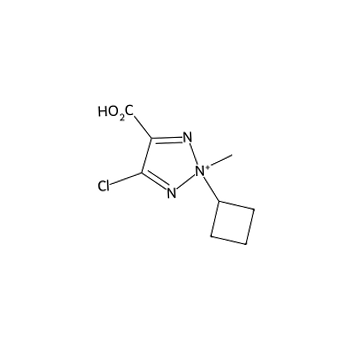 C[N+]1(C2CCC2)N=C(Cl)C(C(=O)O)=N1